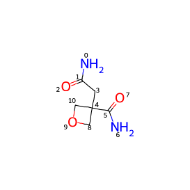 NC(=O)CC1(C(N)=O)COC1